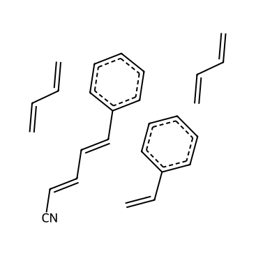 C=CC=C.C=CC=C.C=Cc1ccccc1.N#CC=CC=Cc1ccccc1